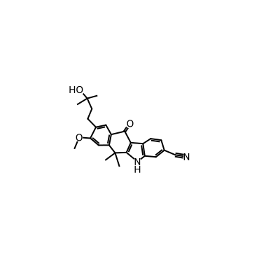 COc1cc2c(cc1CCC(C)(C)O)C(=O)c1c([nH]c3cc(C#N)ccc13)C2(C)C